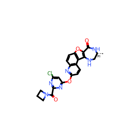 C[C@@H]1CNc2c(oc3ccc4nc(Oc5cc(Cl)nc(C(=O)N6CCC6)n5)ccc4c23)C(=O)N1